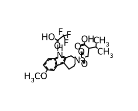 COc1ccc2[nH]c3c(c2c1)CCN(S(=O)(=O)CC(C(=O)O)C(C)C)C3.O=C(O)C(F)(F)F